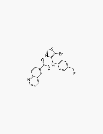 O=C(N[C@@H](c1ccc(CF)cc1)c1ncsc1Br)c1ccc2ncccc2c1